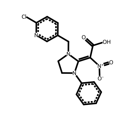 O=C(O)C(=C1N(Cc2ccc(Cl)nc2)CCN1c1ccccc1)[N+](=O)[O-]